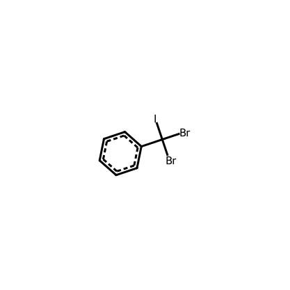 BrC(Br)(I)c1ccccc1